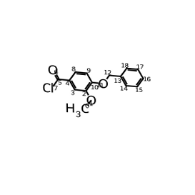 COc1cc(C(=O)Cl)ccc1OCc1ccccc1